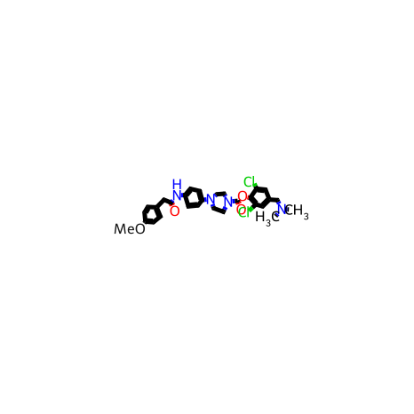 COc1ccc(CC(=O)Nc2ccc(N3CCN(C(=O)Oc4c(Cl)cc(CN(C)C)cc4Cl)CC3)cc2)cc1